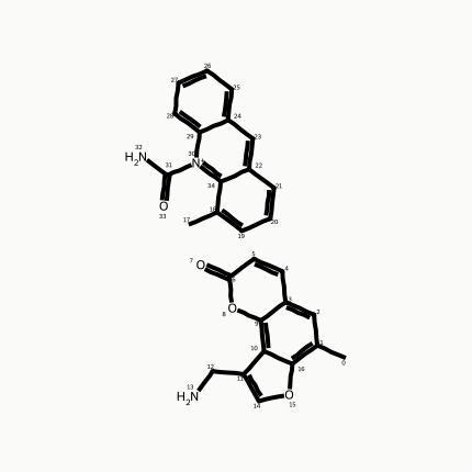 Cc1cc2ccc(=O)oc2c2c(CN)coc12.Cc1cccc2cc3ccccc3[n+](C(N)=O)c12